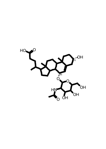 CC(=O)NC1C(O[C@H]2C=C3C[C@@H](O)CCC3(C)C3CCC4(C)C(C(C)CCC(=O)O)CCC4C32)OC(CO)C(O)C1O